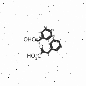 O=C(O)C(=O)Cc1ccccc1.O=CCc1ccccc1